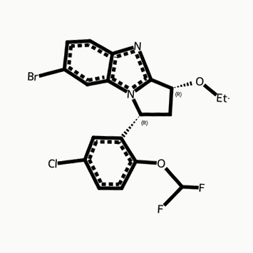 [CH2][CH]O[C@@H]1C[C@H](c2cc(Cl)ccc2OC(F)F)n2c1nc1ccc(Br)cc12